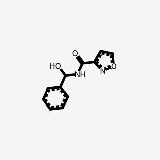 O=C(NC(O)c1ccccc1)c1ccon1